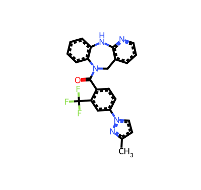 Cc1ccn(-c2ccc(C(=O)N3Cc4cccnc4Nc4ccccc43)c(C(F)(F)F)c2)n1